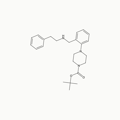 CC(C)(C)OC(=O)N1CCN(c2ccccc2CNCCc2ccccc2)CC1